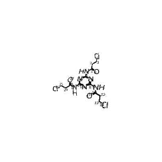 O=C(CCCl)Nc1nc(NC(=O)CCCl)nc(NC(=O)CCCl)n1